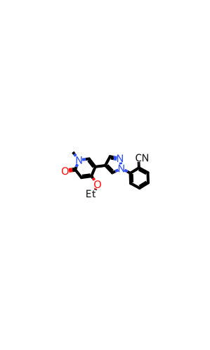 CCOc1cc(=O)n(C)cc1-c1cnn(-c2ccccc2C#N)c1